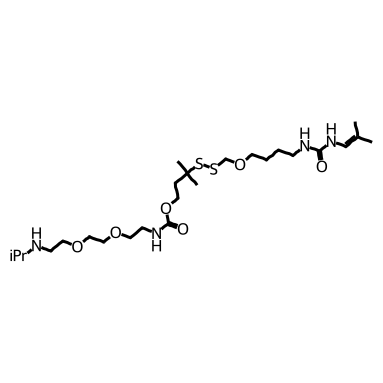 CC(C)=CNC(=O)NCCCCOCSSC(C)(C)CCOC(=O)NCCOCCOCCNC(C)C